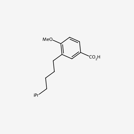 COc1ccc(C(=O)O)cc1CCCCC(C)C